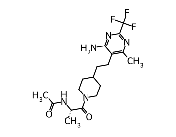 CC(=O)N[C@@H](C)C(=O)N1CCC(CCc2c(C)nc(C(F)(F)F)nc2N)CC1